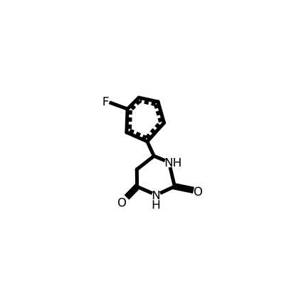 O=C1CC(c2cccc(F)c2)NC(=O)N1